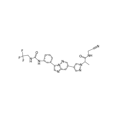 CC(C(=O)NCC#N)n1cc(-c2cnn3c(-c4cccc(NC(=O)NCC(F)(F)F)c4)cnc3c2)cn1